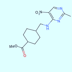 COC(=O)C1CCC(CNc2nc(C)ncc2[N+](=O)[O-])CC1